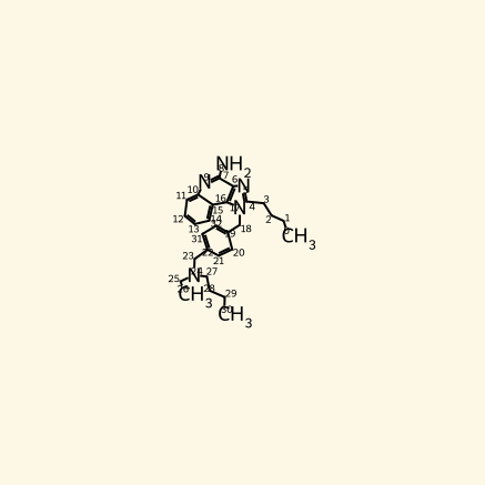 CCCCc1nc2c(N)nc3ccccc3c2n1Cc1ccc(CN(CC)CCCC)cc1